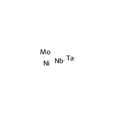 [Mo].[Nb].[Ni].[Ta]